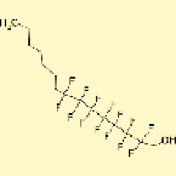 CCCCCCCC(F)(F)C(F)(F)C(F)(F)C(F)(F)C(F)(F)C(F)(F)C(F)(F)CO